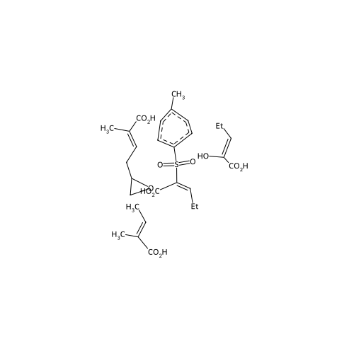 C/C(=C\CC1CO1)C(=O)O.C/C=C(\C)C(=O)O.CC/C=C(\C(=O)O)S(=O)(=O)c1ccc(C)cc1.CC/C=C(\O)C(=O)O